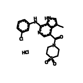 Cc1c[nH]c2c(Nc3cccc(Cl)c3)ncc(C(=O)N3CCS(=O)(=O)CC3)c12.Cl